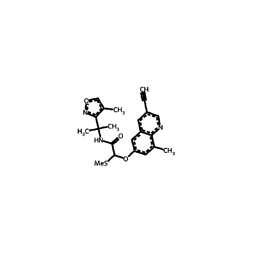 C#Cc1cnc2c(C)cc(OC(SC)C(=O)NC(C)(C)c3nocc3C)cc2c1